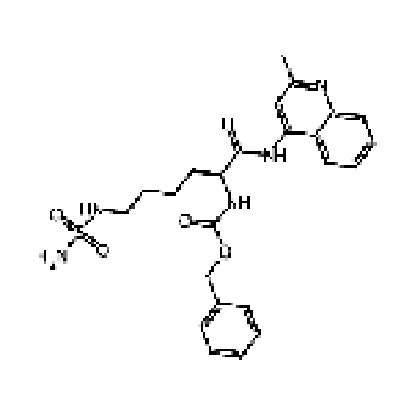 Cc1cc(NC(=O)[C@H](CCCCNS(N)(=O)=O)NC(=O)OCc2ccccc2)c2ccccc2n1